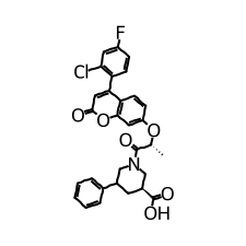 C[C@@H](Oc1ccc2c(-c3ccc(F)cc3Cl)cc(=O)oc2c1)C(=O)N1CC(c2ccccc2)C[C@H](C(=O)O)C1